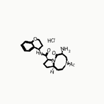 CC(=O)N1CC[C@H]2CC[C@@H](C(=O)N[C@@H]3CCOc4ccccc43)N2C(=O)[C@@H](N)C1.Cl